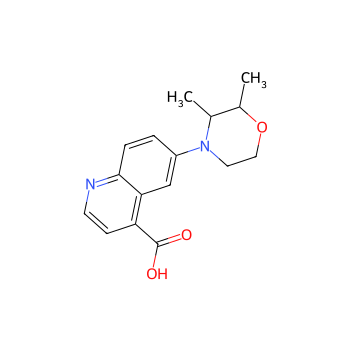 CC1OCCN(c2ccc3nccc(C(=O)O)c3c2)C1C